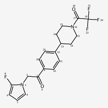 O=C(Cn1cccc1F)c1ccc(C2CCN(C(=O)C(F)(F)F)CC2)cc1